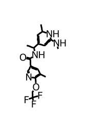 CNC1=CC(C(C)NC(=O)c2cnc(OCC(F)(F)F)c(C)c2)=CC(C)N1